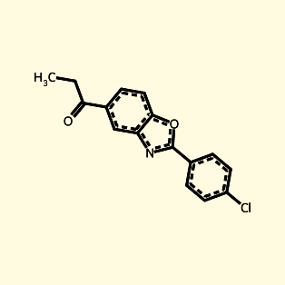 CCC(=O)c1ccc2oc(-c3ccc(Cl)cc3)nc2c1